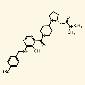 Cc1c(NCc2ccc(C(C)(C)C)cc2)ncnc1C(=O)N1CCC(N2CCC[C@@H]2CC(=O)N(C)C)CC1